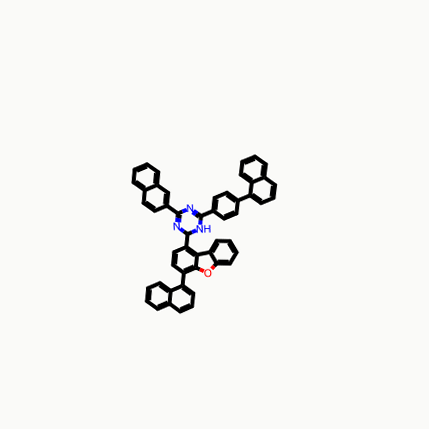 c1ccc2cc(C3=NC(c4ccc(-c5cccc6ccccc56)c5oc6ccccc6c45)NC(c4ccc(-c5cccc6ccccc56)cc4)=N3)ccc2c1